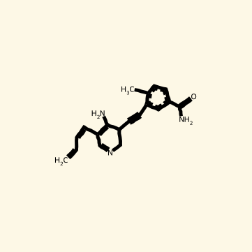 C=C/C=C\C1=C(N)C(C#Cc2cc(C(N)=O)ccc2C)CN=C1